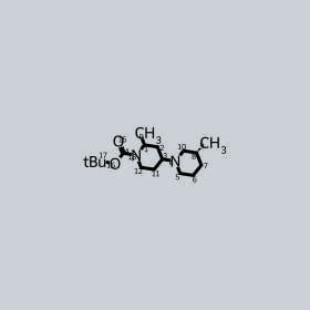 CC1CC(N2CCC[C@@H](C)C2)CCN1C(=O)OC(C)(C)C